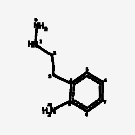 NNCCc1ccccc1N